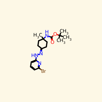 CC1(NC(=O)OC(C)(C)C)CCC(=NNc2cccc(Br)n2)CC1